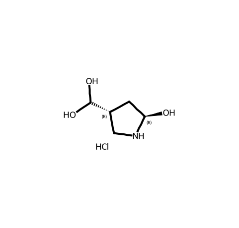 Cl.OC(O)[C@H]1CN[C@H](O)C1